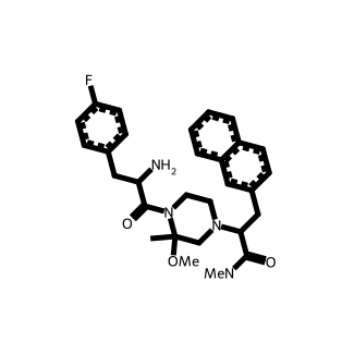 CNC(=O)C(Cc1ccc2ccccc2c1)N1CCN(C(=O)C(N)Cc2ccc(F)cc2)C(C)(OC)C1